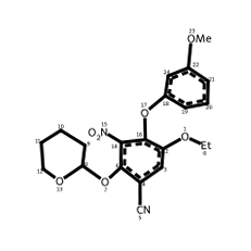 CCOc1cc(C#N)c(OC2CCCCO2)c([N+](=O)[O-])c1Oc1cccc(OC)c1